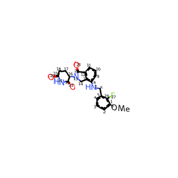 COc1cccc(CNc2cccc3c2CN([C@@H]2CCC(=O)NC2=O)C3=O)c1F